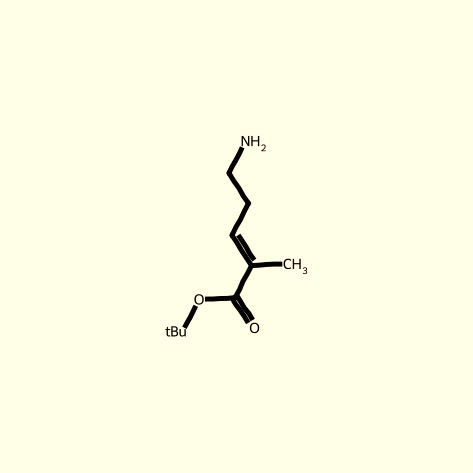 CC(=CCCN)C(=O)OC(C)(C)C